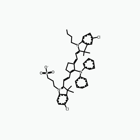 CCCCN1/C(=C/C=C2\CCC(/C=C/C3=[N+](CCCS(=O)(=O)[O-])c4ccc(Cl)cc4C3(C)C)=C2N(c2ccccc2)c2ccccc2)C(C)(C)c2cc(Cl)ccc21